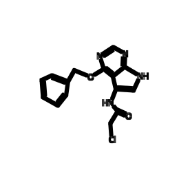 O=C(CCl)Nc1c[nH]c2ncnc(OCc3ccccc3)c12